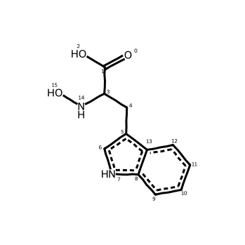 O=C(O)C(Cc1c[nH]c2ccccc12)NO